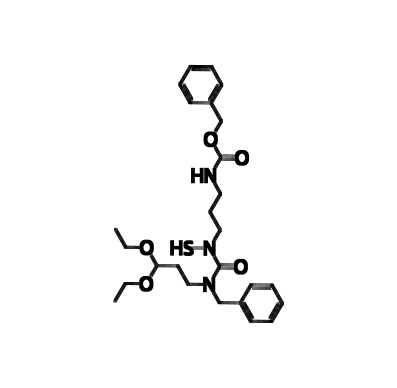 CCOC(CCN(Cc1ccccc1)C(=O)N(S)CCCNC(=O)OCc1ccccc1)OCC